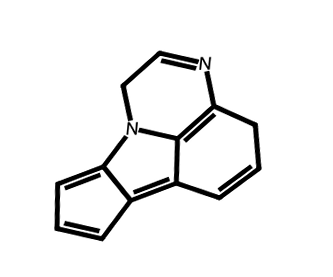 C1=Cc2c3c4n(c2=C1)CC=NC=4CC=C3